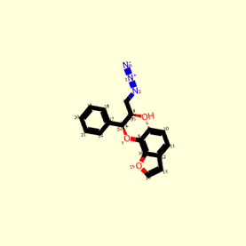 [N-]=[N+]=NC[C@@H](O)[C@@H](Oc1cccc2ccoc12)c1ccccc1